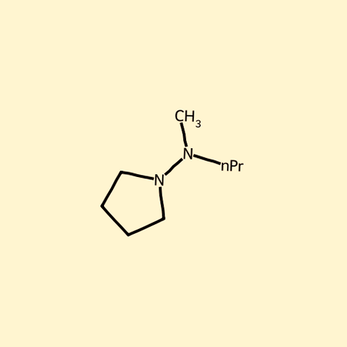 CCCN(C)N1CCCC1